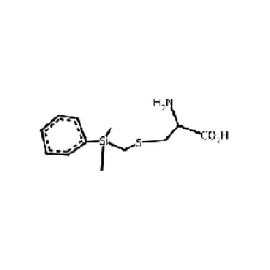 C[Si](C)(CSCC(N)C(=O)O)c1ccccc1